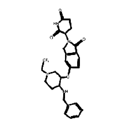 O=C1CCC(N2Cc3cc(OC4CN(CC(F)(F)F)CCC4NCc4ccccc4)ccc3C2=O)C(=O)N1